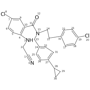 N#CCNc1ccc(Cl)cc1C(=O)N(CCc1ccc(Cl)cc1)Cc1ccc(C2CC2)cc1